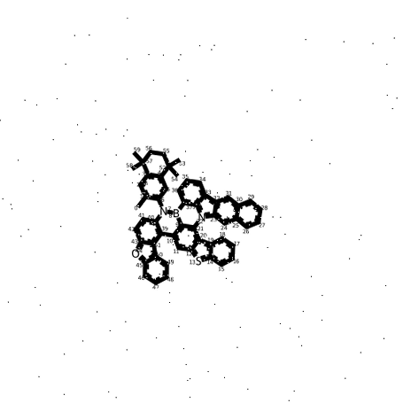 Cc1cc2c(cc1N1B3c4c(cc5sc6ccccc6c5c4-n4c5cc6ccccc6cc5c5cccc3c54)-c3c1ccc1oc4ccccc4c31)C(C)(C)CCC2(C)C